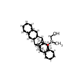 CC1C2c3cc4ccccc4cc3C(c3cc4ccccc4cc32)C1C(=O)N(C)CO